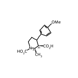 COc1ccc(C2CCN(C(=O)O)[C@H](C)[C@@H]2C(=O)O)cc1